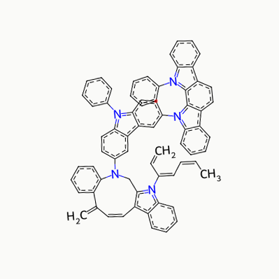 C=C/C(=C\C=C/C)n1c2c(c3ccccc31)/C=C\C(=C)c1ccccc1N(c1ccc3c(c1)c1cc(-n4c5ccccc5c5ccc6c7ccccc7n(-c7ccccc7)c6c54)ccc1n3-c1ccccc1)C2